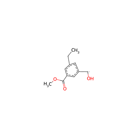 CCc1cc([CH]O)cc(C(=O)OC)c1